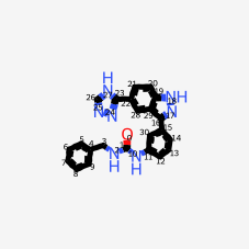 O=C(NCc1ccccc1)Nc1cccc(-c2n[nH]c3ccc(-c4nnc[nH]4)cc23)c1